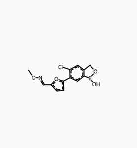 CON=Cc1ccc(-c2cc3c(cc2Cl)COB3O)o1